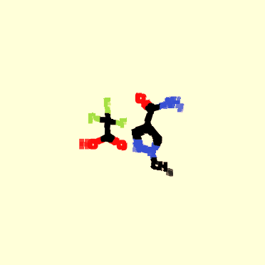 Cn1cc(C(N)=O)cn1.O=C(O)C(F)(F)F